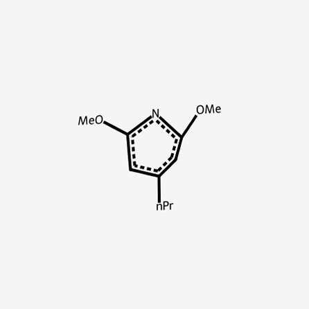 CCCc1cc(OC)nc(OC)c1